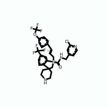 O=C(NCc1ccnc(Cl)c1)[N+]1(C/C=C/c2ccc(OC(F)(F)F)cc2)CC2(CCNCC2)c2ccc(C(F)(F)F)cc21